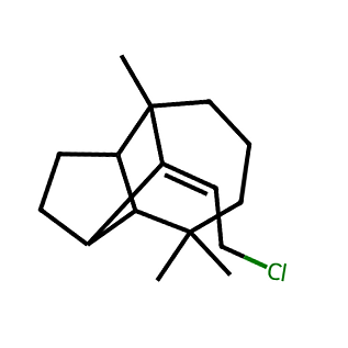 CC1(C)CCCC2(C)C(=CCCl)C3CCC2C31